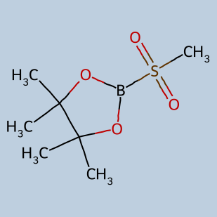 CC1(C)OB(S(C)(=O)=O)OC1(C)C